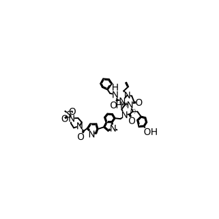 C=CCN1CC(=O)N2[C@@H](Cc3ccc(O)cc3)C(=O)N(Cc3cccc4c(-c5ccc(C(=O)N6CCN(S(C)(=O)=O)CC6)nc5)cn(C)c34)C[C@@H]2N1C(=O)NCc1ccccc1